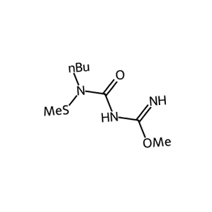 CCCCN(SC)C(=O)NC(=N)OC